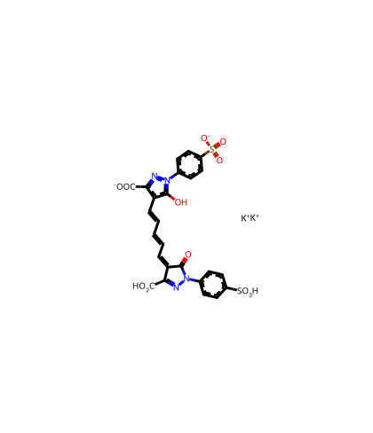 O=C(O)C1=NN(c2ccc(S(=O)(=O)O)cc2)C(=O)C1=CC=CC=Cc1c(C(=O)[O-])nn(-c2ccc(S(=O)(=O)[O-])cc2)c1O.[K+].[K+]